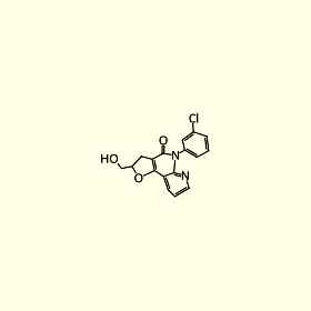 O=c1c2c(c3cccnc3n1-c1cccc(Cl)c1)OC(CO)C2